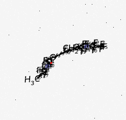 C=CC(CCCCCOc1cc(F)c(/C(F)=C(\F)c2cc(F)c(C#CC)c(F)c2)c(F)c1)CCCCCOc1cc(F)c(/C(F)=C(\F)c2cc(F)c(C#CC(F)(F)F)c(F)c2)c(F)c1